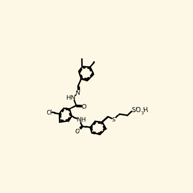 Cc1ccc(/C=N/NC(=O)c2cc(Cl)ccc2NC(=O)c2cccc(CSCCS(=O)(=O)O)c2)cc1C